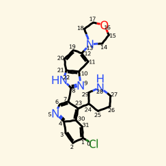 Clc1ccc2ncc(-c3nc4cc(N5CCOCC5)ccc4[nH]3)c(C3CCCNC3)c2c1